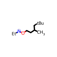 CC[N]OCCC(C)CC(C)(C)C